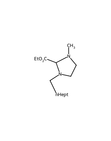 CCCCCCCCN1CCN(C)C1C(=O)OCC